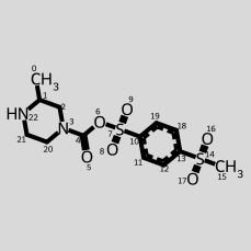 CC1CN(C(=O)OS(=O)(=O)c2ccc(S(C)(=O)=O)cc2)CCN1